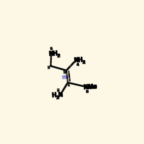 CN/C(N)=C(\N)CN